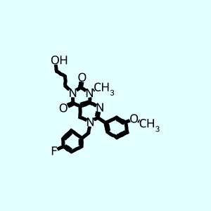 COc1cccc(C2=Nc3c(c(=O)n(CCCO)c(=O)n3C)CN2Cc2ccc(F)cc2)c1